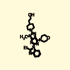 CCc1nc2ccccc2n1-c1nc(N2CCOCC2)c2nc(N3CCC(CCO)CC3)n(C)c2n1